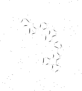 c1cc(-c2ccc3c(c2)c2ccccc2c2nccnc32)cc(-c2cccc3c(-c4cccc(-c5cccc6c5sc5ccccc56)c4)cccc23)c1